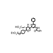 CCCC(=O)Nc1cc(C(=O)N[C@@H](CCC(=O)O)C(=O)N2CCN(OC(=O)OCC)CC2)nc(-c2ccccc2)n1